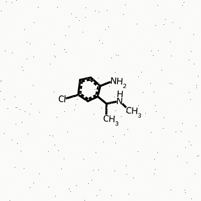 CNC(C)c1cc(Cl)ccc1N